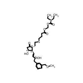 CCN(CC)C(=O)OCOC(=O)CCCSCC[C@H]1C(=O)C[C@@H](O)[C@@H]1C=C[C@@H](O)Cc1cccc(COC)c1